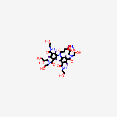 NC(=O)CCC(=O)N(c1c(I)c(C(=O)NCCO)c(I)c(C(=O)N(CCO)CC(O)CO)c1I)c1c(I)c(C(=O)NCCO)c(I)c(C(=O)N(CCO)CC(O)CO)c1I